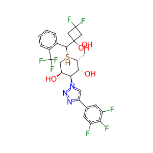 OC[C@@H]1[C@H](O)[C@@H](n2cc(-c3cc(F)c(F)c(F)c3)nn2)[C@@H](O)C[SH]1C(c1ccccc1C(F)(F)F)C1(O)CC(F)(F)C1